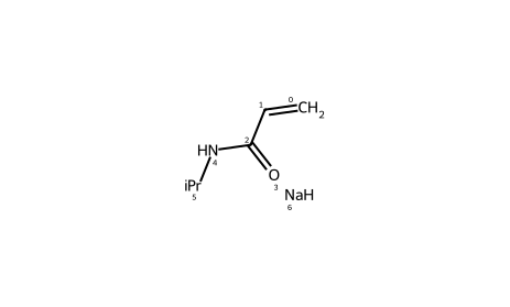 C=CC(=O)NC(C)C.[NaH]